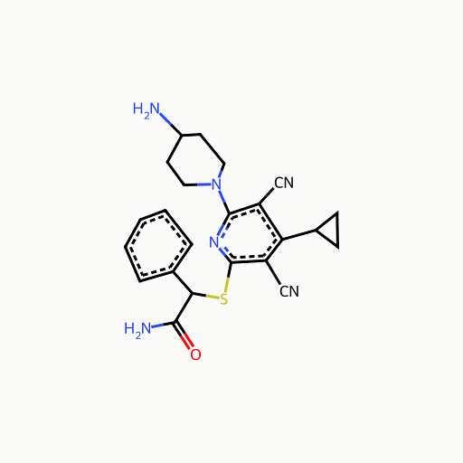 N#Cc1c(SC(C(N)=O)c2ccccc2)nc(N2CCC(N)CC2)c(C#N)c1C1CC1